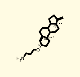 C=C1CCC2C3CCC4=C[C@@H](OCCCN)CC[C@]4(C)C3CC[C@]12C